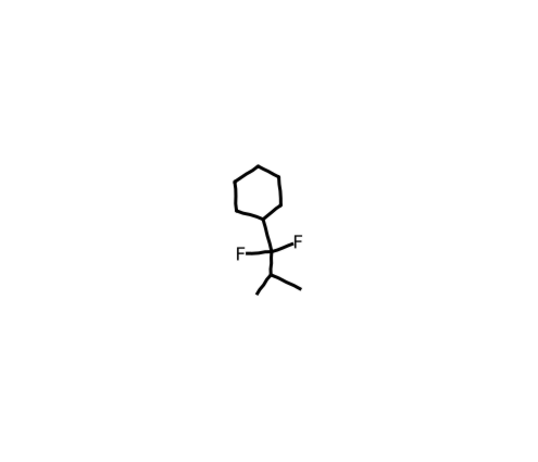 CC(C)C(F)(F)C1CCCCC1